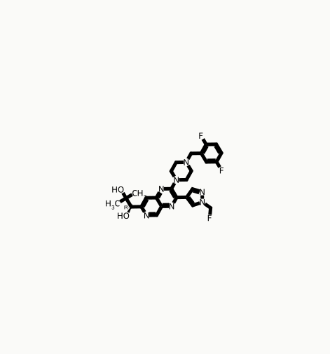 CC(C)(O)[C@H](O)c1cc2nc(N3CCN(Cc4cc(F)ccc4F)CC3)c(-c3cnn(CF)c3)nc2cn1